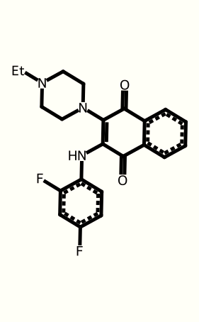 CCN1CCN(C2=C(Nc3ccc(F)cc3F)C(=O)c3ccccc3C2=O)CC1